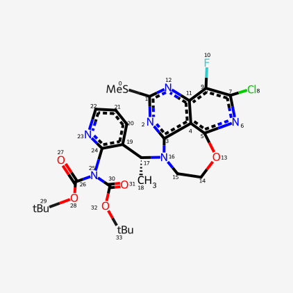 CSc1nc2c3c(nc(Cl)c(F)c3n1)OCCN2[C@H](C)c1cccnc1N(C(=O)OC(C)(C)C)C(=O)OC(C)(C)C